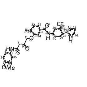 COc1ccc(NC(=S)CC(=O)COc2cc(C(=O)Nc3ccc(-c4ncc[nH]4)c(C(F)(F)F)c3)ccc2F)cn1